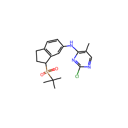 Cc1cnc(Cl)nc1Nc1ccc2c(c1)C(S(=O)(=O)C(C)(C)C)CC2